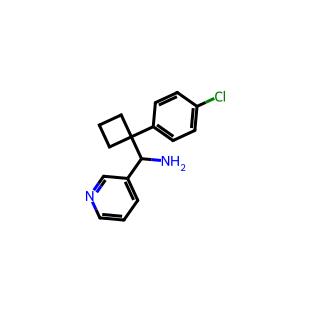 NC(c1cccnc1)C1(c2ccc(Cl)cc2)CCC1